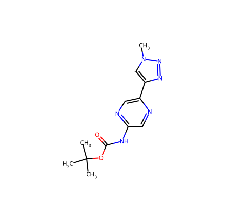 Cn1[c]c(-c2cnc(NC(=O)OC(C)(C)C)cn2)nn1